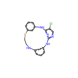 Clc1cnc2nc1Nc1cccc(c1)SCCNc1cccc(c1)N2